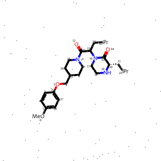 COc1ccc(OCC2CCN(C(=O)C(CC(C)C)N3CCN[C@@H](CC(C)C)C3=O)CC2)cc1